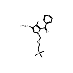 CCOC(=O)c1cn(COCC[Si](C)(C)C)c(C(=O)c2ccccc2)c1C